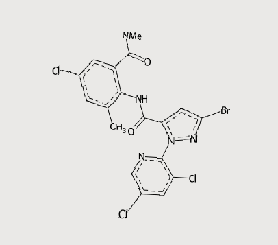 CNC(=O)c1cc(Cl)cc(C)c1NC(=O)c1cc(Br)nn1-c1ncc(Cl)cc1Cl